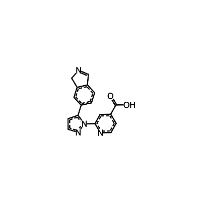 O=C(O)c1ccnc(-n2nccc2-c2ccc3c(c2)CN=C3)c1